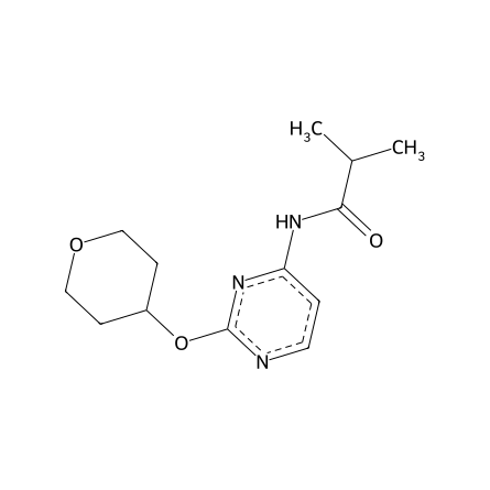 CC(C)C(=O)Nc1ccnc(OC2CCOCC2)n1